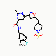 COc1cc(CNC(=O)c2cc(C3=NOC(CC4CCN(S(C)(=O)=O)CC4)C3)nc(C)n2)ccc1F